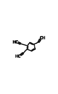 C#Cc1ccc(C#C)c(C#C)c1